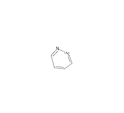 c1ccn[14cH]c1